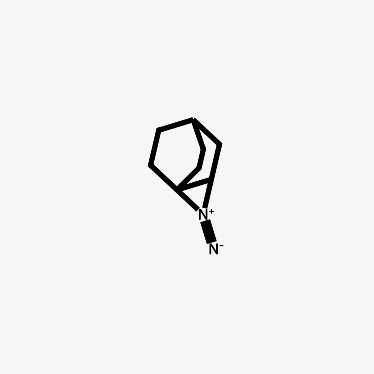 [N-]=[N+]1C2CC3CCC21CC3